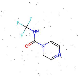 O=C(NC(F)(F)F)N1C=CN=CC1